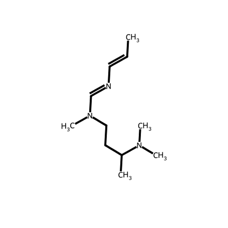 C/C=C/N=C/N(C)CCC(C)N(C)C